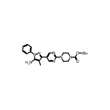 Cc1c(-c2cnc(N3CCN(C(=O)OC(C)(C)C)CC3)nc2)nn(-c2ccccc2)c1N